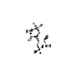 O=C(O)/C(CC(F)(F)F)=C(\CC(F)(F)F)C(=O)O